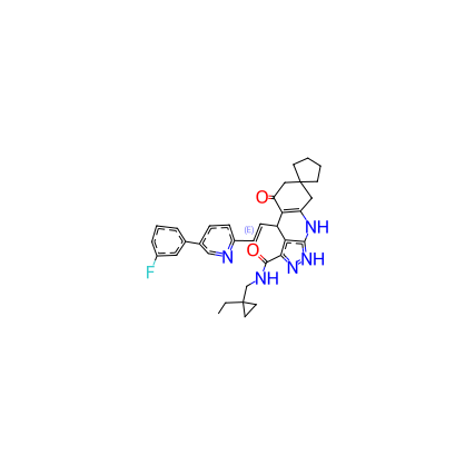 CCC1(CNC(=O)c2n[nH]c3c2C(/C=C/c2ccc(-c4cccc(F)c4)cn2)C2=C(CC4(CCCC4)CC2=O)N3)CC1